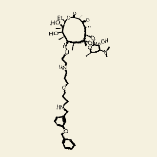 CC[C@H]1OC(=O)[C@H](C)C(=O)[C@H](C)[C@@H](O[C@@H]2O[C@H](C)C[C@H](N(C)C)[C@H]2O)[C@@](C)(OC)C[C@@H](C)/C(=N\OCCNCCCOCCCNCc2cccc(OCc3ccccc3)c2)[C@@H](C)[C@@H](O)[C@]1(C)O